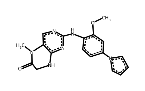 COc1cc(-n2cccc2)ccc1Nc1ncc2c(n1)NCC(=O)N2C